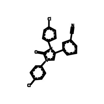 N#Cc1cccc(-c2cn(-c3ccc(Cl)cc3)c(=O)n2-c2ccc(Cl)cc2)c1